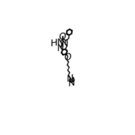 O=C1NC2=Nc3ccc(OCCCCCCCn4ccnc4)cc3CN2C1Cc1ccccc1